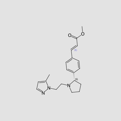 COC(=O)/C=C/c1ccc([C@@H]2CCCN2CCn2nccc2C)cc1